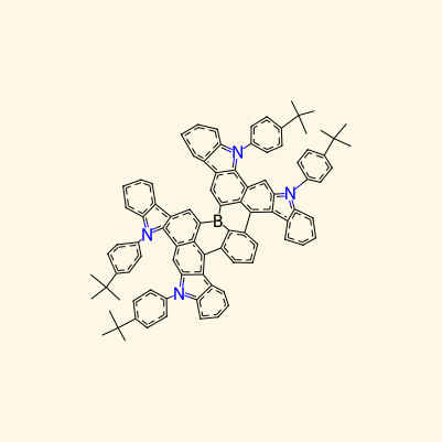 CC(C)(C)c1ccc(-n2c3ccccc3c3c4c5c(cc6c7ccccc7n(-c7ccc(C(C)(C)C)cc7)c6c5cc32)B2c3c-4cccc3-c3c4c2cc2c5ccccc5n(-c5ccc(C(C)(C)C)cc5)c2c4cc2c3c3ccccc3n2-c2ccc(C(C)(C)C)cc2)cc1